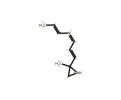 C/C=C/N=C\C=C\C1(C)CN1